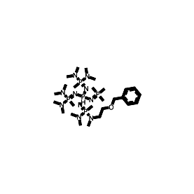 CN(C)P(C)(=N[PH](N=P(C)(C)C)(N=P(C)(N(C)C)N(C)C)N=P(C)(N(C)C)N(C)CCOCc1ccccc1)N(C)C